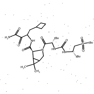 CC1(C)C2CN(C(=O)[C@@H](NC(=O)N[C@H](CS(=O)(=O)C(C)(C)C)C(C)(C)C)C(C)(C)C)[C@H](C(=O)NC(CC3CCC3)C(=O)C(N)=O)C21